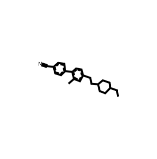 CCC1CCC(CCc2ccc(-c3ccc(C#N)cc3)c(C)c2)CC1